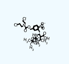 CC(C)(C)OC(=O)N[C@H](Cc1cc(COC(=O)N(CCCl)CCCl)ccc1[N+](=O)[O-])C(C(=O)O)C(C)(C)C